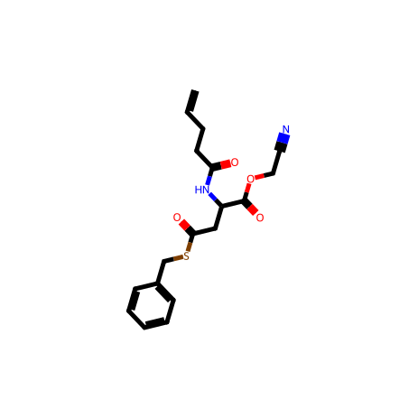 C=CCCC(=O)NC(CC(=O)SCc1ccccc1)C(=O)OCC#N